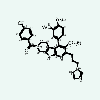 CCOC(=O)c1c(CCCn2cncn2)nc2sc3c(c2c1-c1ccc(OC)c(OC)c1)CCN(C(=O)c1ccc(Cl)cc1)C3